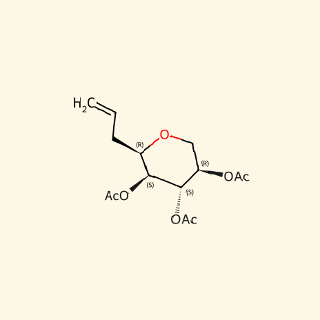 C=CC[C@H]1OC[C@@H](OC(C)=O)[C@H](OC(C)=O)[C@H]1OC(C)=O